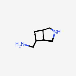 NCC1CC2CNCC12